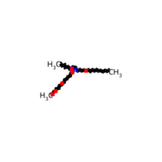 CCCCCCCCCCCCCCCCCN1C=CN(CCCCCCC)C1CCCCCCCCCCCCCCCC